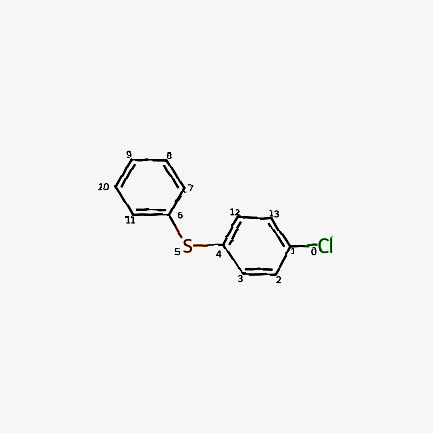 Clc1ccc(Sc2[c]cccc2)cc1